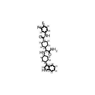 NC(=O)C(NC1CCC(c2c[nH]c3ccccc23)CC1)C1CCN(C(=O)Nc2ccc(F)c(F)c2)CC1